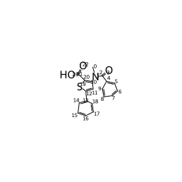 CN(C(=O)c1ccccc1)c1cc(-c2ccccc2)sc1C(=O)O